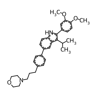 COc1ccc(-c2[nH]c3ccc(-c4ccc(CCCN5CCOCC5)cc4)cc3c2C(C)C)cc1OC